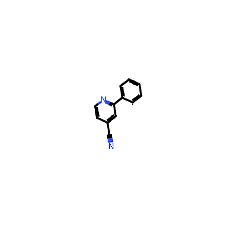 N#Cc1ccnc(-c2[c]cccc2)c1